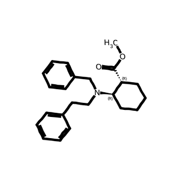 COC(=O)[C@@H]1CCCC[C@H]1N(CCc1ccccc1)Cc1ccccc1